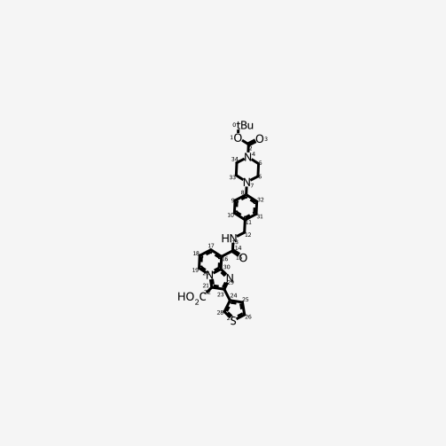 CC(C)(C)OC(=O)N1CCN(c2ccc(CNC(=O)c3cccn4c(C(=O)O)c(-c5ccsc5)nc34)cc2)CC1